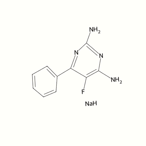 Nc1nc(N)c(F)c(-c2ccccc2)n1.[NaH]